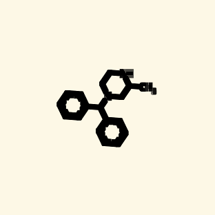 CC1CN(C(c2ccccc2)c2ccccc2)CCN1